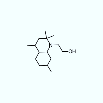 CC1CCC2C(C)CC(C)(C)N(CCO)C2C1